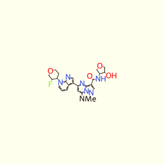 CNc1cc(-c2cnc3n([C@@H]4CCOC[C@@H]4F)cccc2-3)nc2c(C(=O)NC3COCC3O)cnn12